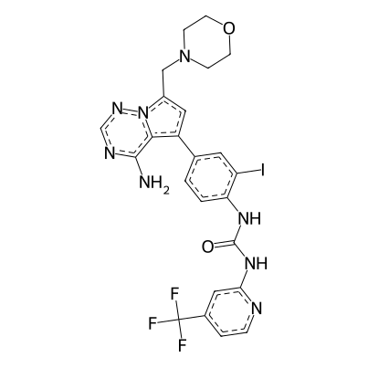 Nc1ncnn2c(CN3CCOCC3)cc(-c3ccc(NC(=O)Nc4cc(C(F)(F)F)ccn4)c(I)c3)c12